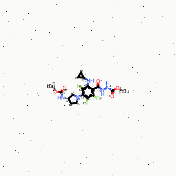 CC(C)(C)OC(=O)NNC(=O)c1c(F)c(F)c(N2CC[C@H](NC(=O)OC(C)(C)C)C2)c(F)c1NC1CC1